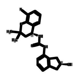 CC1(C)C[C@@H](NC(=O)Nc2cccc3c2C[C@H](O)C3)c2cccc(F)c2O1